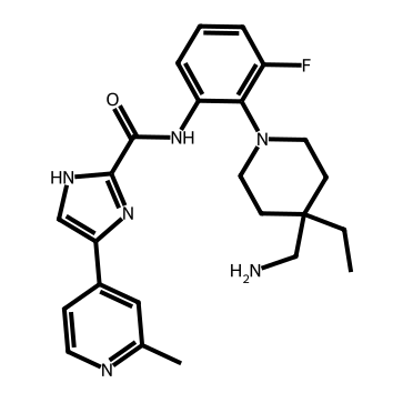 CCC1(CN)CCN(c2c(F)cccc2NC(=O)c2nc(-c3ccnc(C)c3)c[nH]2)CC1